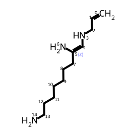 C=CCN/C=C(\N)CCCCCCCN